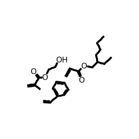 C=C(C)C(=O)OCCO.C=CC(=O)OCC(CC)CCCC.C=Cc1ccccc1